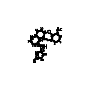 CC(=O)c1cccc(C)c1Oc1ccc2ncnc(Nc3ccn(C)n3)c2c1